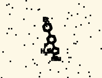 CCCCC1=CC=C(c2ccc(-c3ccc(CC)cc3)cc2F)[SeH2]1